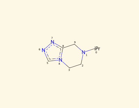 CC(C)N1CCn2cnnc2C1